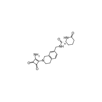 Nc1c(N2CCc3ccc(CNC(=O)[C@H]4CCCC(=O)N4)cc3C2)c(=O)c1=O